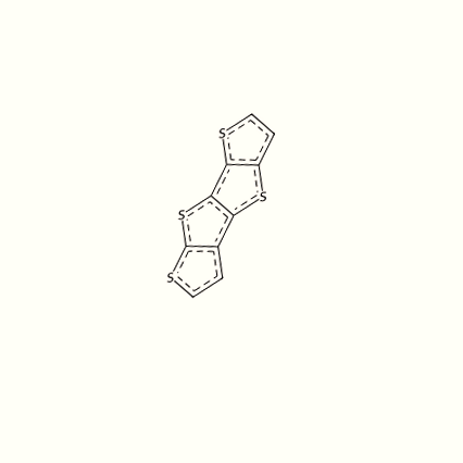 c1cc2c(s1)sc1c3sccc3sc21